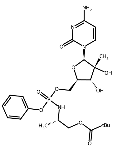 C[C@@H](COC(=O)C(C)(C)C)NP(=O)(OC[C@H]1O[C@@H](n2ccc(N)nc2=O)[C@](C)(O)[C@@H]1O)Oc1ccccc1